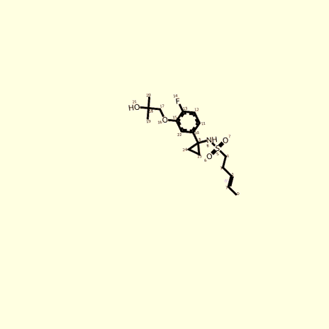 C/C=C/CCS(=O)(=O)NC1(c2ccc(F)c(OCC(C)(C)O)c2)CC1